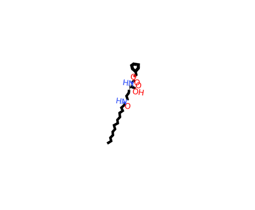 CCCCCCCCCCCCCC(=O)NCCCC[C@H](NC(=O)OCc1ccccc1)C(=O)O